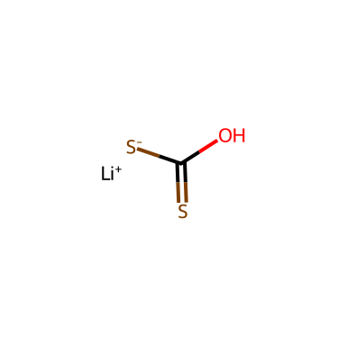 OC(=S)[S-].[Li+]